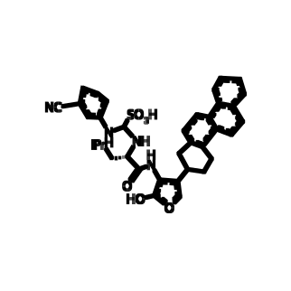 CC(C)C[C@H](NC(Nc1cccc(C#N)c1)S(=O)(=O)O)C(=O)Nc1c(C2CCc3c(ccc4c3ccc3ccccc34)C2)coc1O